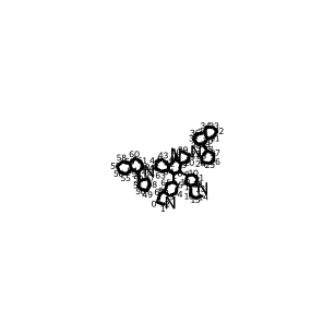 c1cnc2ccc(-c3c(-c4ccc5ncccc5c4)c4cc(-n5c6ccccc6c6c7ccccc7ccc65)cnc4c4ccc(-n5c6ccccc6c6c7ccccc7ccc65)cc34)cc2c1